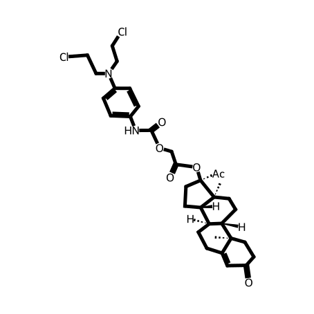 CC(=O)[C@@]1(OC(=O)COC(=O)Nc2ccc(N(CCCl)CCCl)cc2)CC[C@H]2[C@@H]3CCC4=CC(=O)CC[C@]4(C)[C@H]3CC[C@@]21C